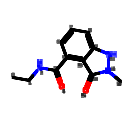 CCNC(=O)c1cccc2[nH]n(C)c(=O)c12